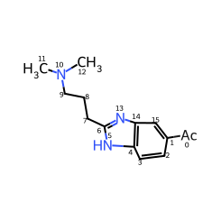 CC(=O)c1ccc2[nH]c(CCCN(C)C)nc2c1